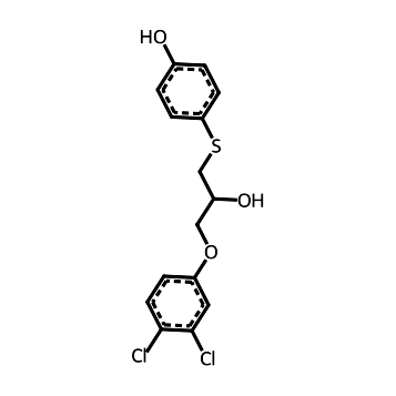 Oc1ccc(SCC(O)COc2ccc(Cl)c(Cl)c2)cc1